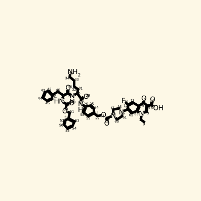 CCn1cc(C(=O)O)c(=O)c2cc(F)c(N3CCN(C(=O)OCc4ccc(NC(=O)C(CCCCN)NC(=O)C(Cc5ccccc5)NC(=O)OCc5ccccc5)cc4)CC3)cc21